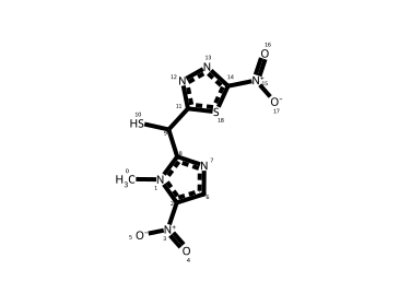 Cn1c([N+](=O)[O-])cnc1C(S)c1nnc([N+](=O)[O-])s1